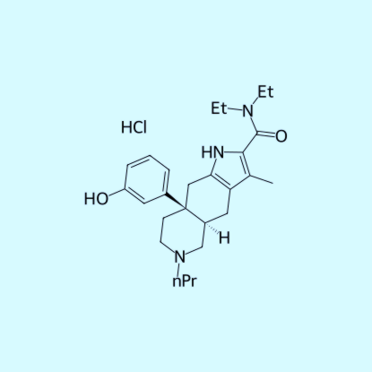 CCCN1CC[C@]2(c3cccc(O)c3)Cc3[nH]c(C(=O)N(CC)CC)c(C)c3C[C@H]2C1.Cl